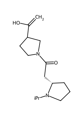 C=C(O)C1CCN(C(=O)C[C@@H]2CCCN2C(C)C)C1